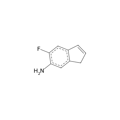 Nc1cc2c(cc1F)C=CC2